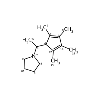 CC1=C(C)C(C(C)N2CCCC2)C(C)=C1C